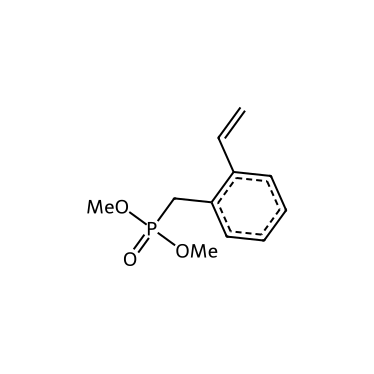 C=Cc1ccccc1CP(=O)(OC)OC